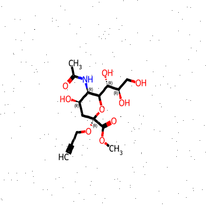 C#CCO[C@]1(C(=O)OC)C[C@@H](O)[C@@H](NC(C)=O)C([C@H](O)[C@H](O)CO)O1